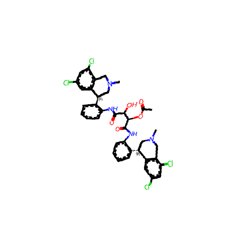 CC(=O)OC(C(=O)Nc1ccccc1[C@@H]1CN(C)Cc2c(Cl)cc(Cl)cc21)C(O)C(=O)Nc1ccccc1[C@@H]1CN(C)Cc2c(Cl)cc(Cl)cc21